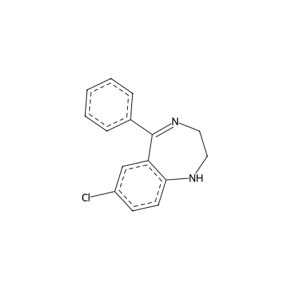 Clc1ccc2c(c1)C(c1ccccc1)=NCCN2